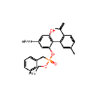 C=C(C)c1ccc(C)cc1-c1c(O)cc(CCCCC)cc1OP(=O)(Cc1ccccc1)OCOC(C)=O